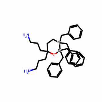 NCCCC1(CCCN)CC[Si](Cc2ccccc2)(Cc2ccccc2)[Si](Cc2ccccc2)(Cc2ccccc2)O1